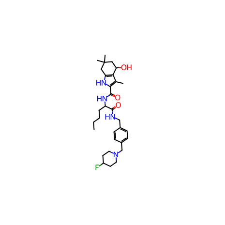 CCCCC(NC(=O)c1[nH]c2c(c1C)C(O)CC(C)(C)C2)C(=O)NCc1ccc(CN2CCC(F)CC2)cc1